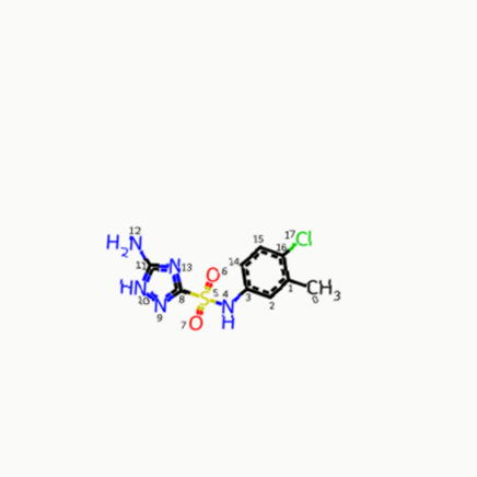 Cc1cc(NS(=O)(=O)c2n[nH]c(N)n2)ccc1Cl